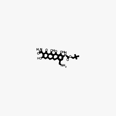 CC(C)(C)COC(=O)Nc1cc(CN)c2c(c1O)C(=O)C1=C(O)C3C(=O)C(C(N)=O)=C(O)CC3CC1C2